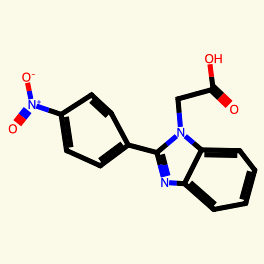 O=C(O)Cn1c(-c2ccc([N+](=O)[O-])cc2)nc2ccccc21